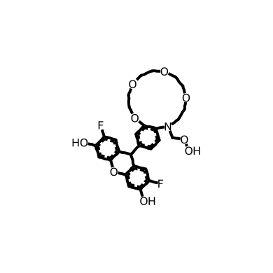 OOCN1CCOCCOCCOCCOc2cc(C3c4cc(F)c(O)cc4Oc4cc(O)c(F)cc43)ccc21